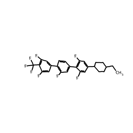 CCC1CCC(c2cc(F)c(-c3ccc(-c4cc(F)c(C(F)(F)F)c(F)c4)c(F)c3)c(F)c2)CC1